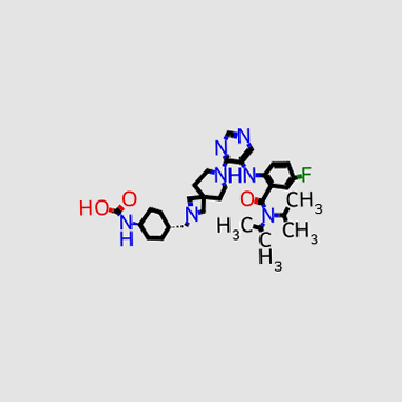 CC(C)N(C(=O)c1cc(F)ccc1Nc1cncnc1N1CCC2(CC1)CN(C[C@H]1CC[C@H](NC(=O)O)CC1)C2)C(C)C